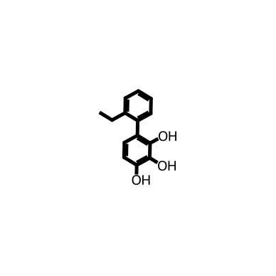 CCc1ccccc1-c1ccc(O)c(O)c1O